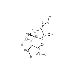 CCOC1O[C@@H]2C(O[C@H](OC)[C@@H](OC)C2OC)C1=O